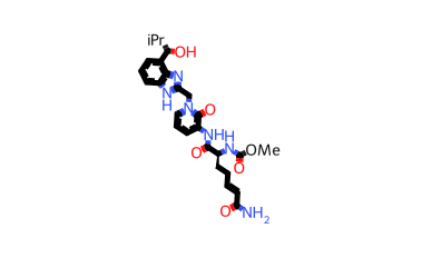 COC(=O)N[C@@H](CC/C=C/C(N)=O)C(=O)Nc1cccn(Cc2nc3c(C(O)C(C)C)cccc3[nH]2)c1=O